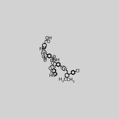 CC1(C)CCC(CN2CCN(c3ccc(C(=O)NS(=O)(=O)c4ccc(NCCN5C6C[C@@H](CC(=O)O)CC5C(F)(F)C6)c([N+](=O)[O-])c4)c(N4CCOc5nc6[nH]ccc6cc54)c3)CC2)=C(c2ccc(Cl)cc2)C1